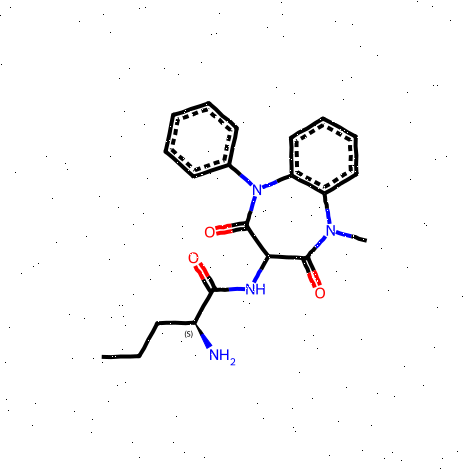 CCC[C@H](N)C(=O)NC1C(=O)N(C)c2ccccc2N(c2ccccc2)C1=O